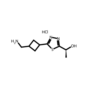 C[C@H](O)c1nnc(C2CC(CN)C2)s1.Cl